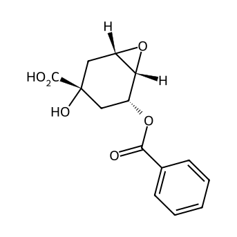 O=C(O[C@@H]1C[C@@](O)(C(=O)O)C[C@@H]2O[C@@H]21)c1ccccc1